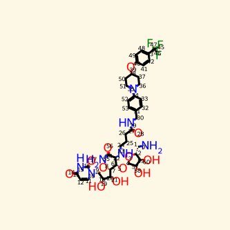 NC[C@H]1O[C@@H](O[C@H]([C@H]2O[C@@H](n3ccc(=O)[nH]c3=O)[C@H](O)[C@@H]2O)[C@H](NCCCC(=O)NCc2ccc(N3CCC(Oc4ccc(C(F)(F)F)cc4)CC3)cc2)C(N)=O)[C@H](O)[C@@H]1O